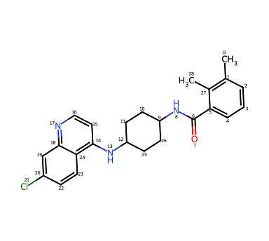 Cc1cccc(C(=O)NC2CCC(Nc3ccnc4cc(Cl)ccc34)CC2)c1C